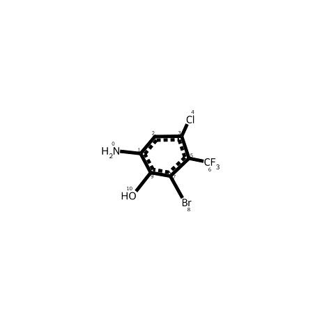 Nc1cc(Cl)c(C(F)(F)F)c(Br)c1O